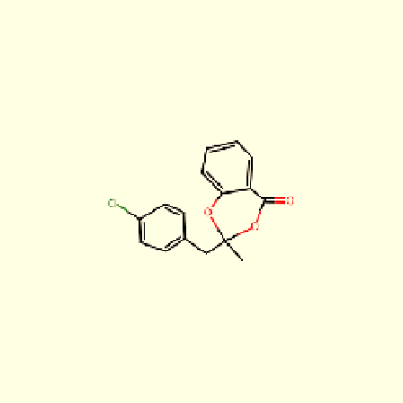 CC1(Cc2ccc(Cl)cc2)OC(=O)c2ccccc2O1